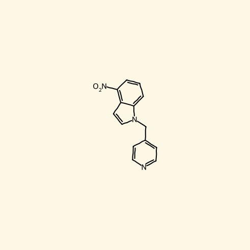 O=[N+]([O-])c1cccc2c1ccn2Cc1ccncc1